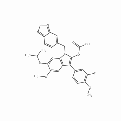 COc1ccc(-c2c(OC(=O)O)n(Cc3ccc4nsnc4c3)c3cc(OC(C)C)c(OC)cc23)cc1F